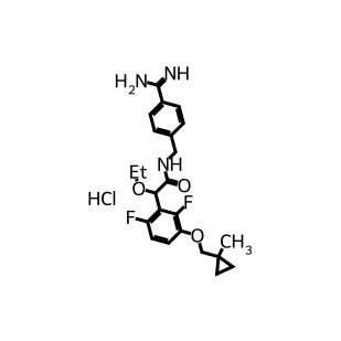 CCOC(C(=O)NCc1ccc(C(=N)N)cc1)c1c(F)ccc(OCC2(C)CC2)c1F.Cl